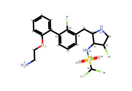 NCCOc1ccccc1-c1cccc(CC2NCC(F)C2NS(=O)(=O)C(F)F)c1F